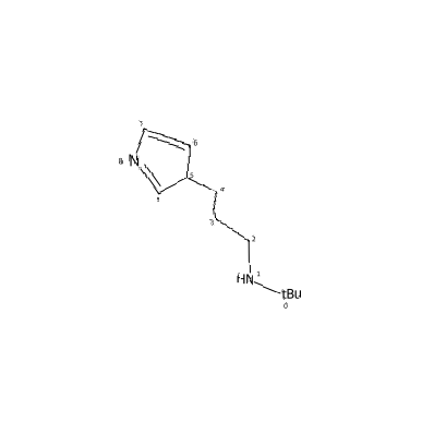 CC(C)(C)NCCCC1C=CN=C1